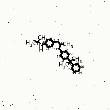 CC(Cc1ccc(NC(C)C)cc1)Cc1ccc(C(C)(C)c2ccccc2)cc1